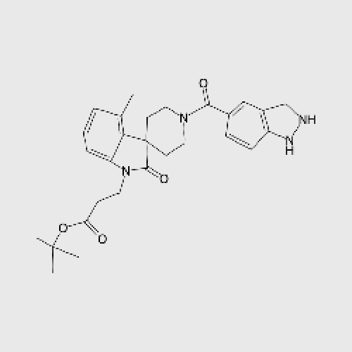 Cc1cccc2c1C1(CCN(C(=O)c3ccc4c(c3)CNN4)CC1)C(=O)N2CCC(=O)OC(C)(C)C